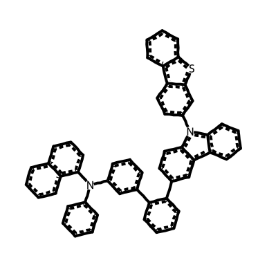 c1ccc(N(c2cccc(-c3ccccc3-c3ccc4c(c3)c3ccccc3n4-c3ccc4c(c3)sc3ccccc34)c2)c2cccc3ccccc23)cc1